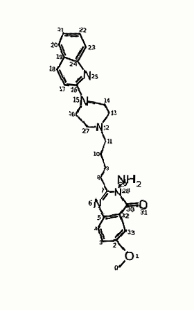 COc1ccc2nc(CCCCN3CCN(c4ccc5ccccc5n4)CC3)n(N)c(=O)c2c1